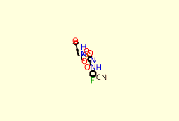 Cn1cc2c(c1C(=O)Nc1ccc(F)c(C#N)c1)OC[C@@H](CC#CC1COC1)NS2(=O)=O